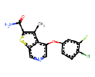 Cc1c(C(N)=O)sc2cncc(Oc3ccc(Cl)c(F)c3)c12